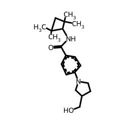 CC1(C)CC(C)(C)C1NC(=O)c1ccc(N2CCC(CO)C2)cc1